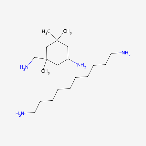 CC1(C)CC(N)CC(C)(CN)C1.NCCCCCCCCCCN